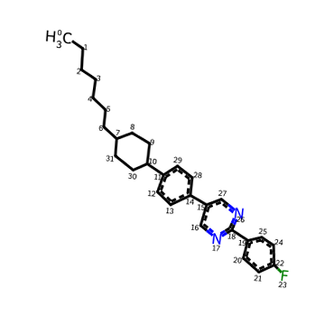 CCCCCCCC1CCC(c2ccc(-c3cnc(-c4ccc(F)cc4)nc3)cc2)CC1